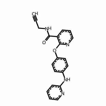 C#CCNC(=O)c1cccnc1Oc1ccc(Nc2ccccn2)cc1